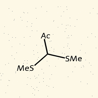 CSC(SC)C(C)=O